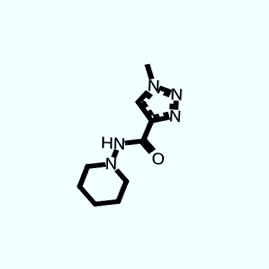 Cn1cc(C(=O)NN2CCCCC2)nn1